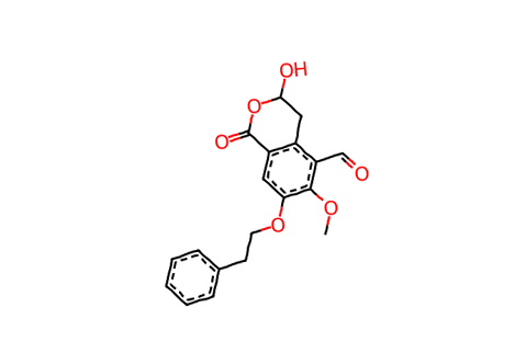 COc1c(OCCc2ccccc2)cc2c(c1C=O)CC(O)OC2=O